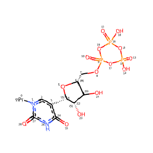 CCCn1cc([C@@H]2O[C@H](COP3(=O)OP(=O)(O)OP(=O)(O)O3)C(O)[C@@H]2O)c(=O)[nH]c1=O